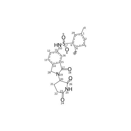 Cc1ccc(F)c(S(=O)(=O)Nc2ccc3c(c2)C(=O)N(C2CCC(=O)NC2=O)C3)c1